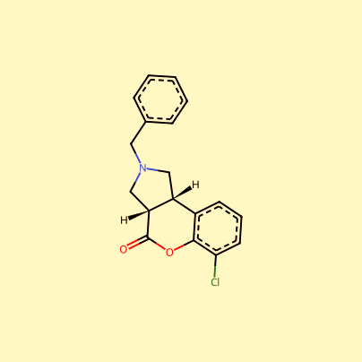 O=C1Oc2c(Cl)cccc2[C@H]2CN(Cc3ccccc3)C[C@@H]12